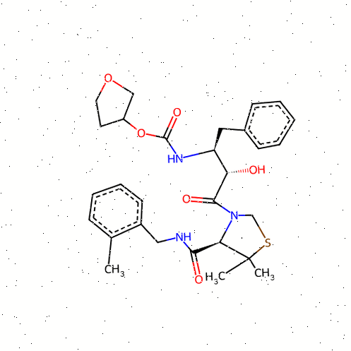 Cc1ccccc1CNC(=O)[C@H]1N(C(=O)[C@@H](O)[C@H](Cc2ccccc2)NC(=O)OC2CCOC2)CSC1(C)C